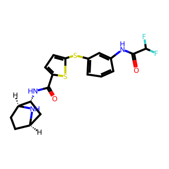 O=C(N[C@@H]1C[C@H]2CC[C@@H]1N2)c1ccc(Sc2cccc(NC(=O)C(F)F)c2)s1